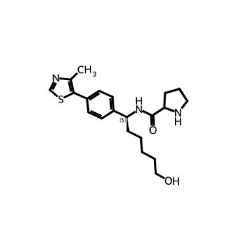 Cc1ncsc1-c1ccc([C@H](CCCCCO)NC(=O)C2CCCN2)cc1